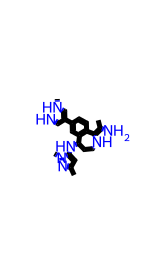 CN/C=C(\C=N)c1ccc2c(c1)C(Nc1cc(C)nn1C)CCN/C2=C(/C)N